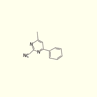 Cc1cc(-c2ccccc2)nc(C#N)n1